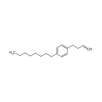 [CH]=CCCc1ccc(CCCCCCCC)cc1